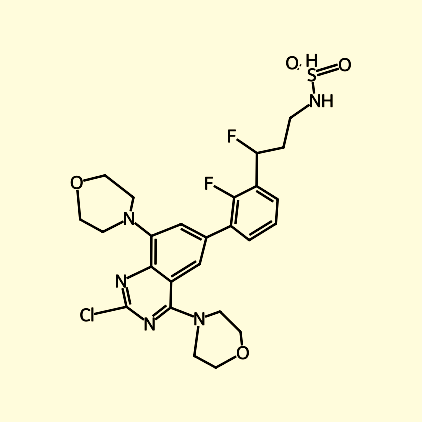 O=[SH](=O)NCCC(F)c1cccc(-c2cc(N3CCOCC3)c3nc(Cl)nc(N4CCOCC4)c3c2)c1F